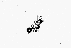 Cc1cn([C@H]2C=C[C@@H](C(O)C(=O)c3ccccc3)O2)c(=O)[nH]c1=O